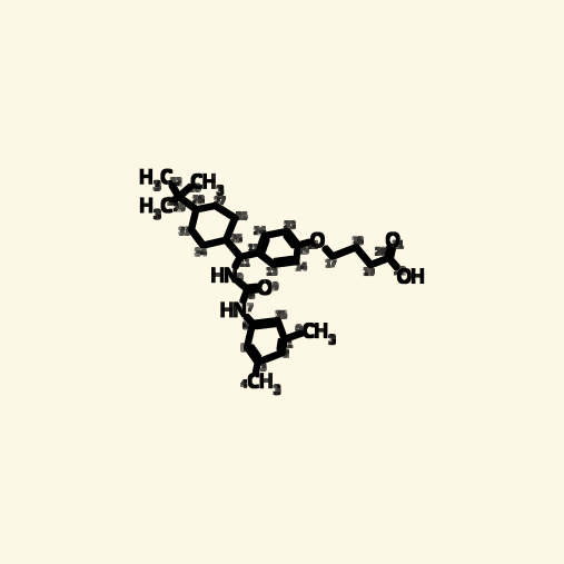 Cc1cc(C)cc(NC(=O)NC(c2ccc(OCCCC(=O)O)cc2)C2CCC(C(C)(C)C)CC2)c1